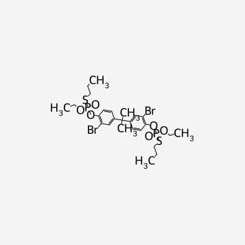 CCCSP(=O)(OCC)Oc1ccc(C(C)(C)c2ccc(OP(=O)(OCC)SCCC)c(Br)c2)cc1Br